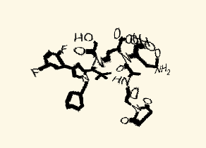 CC(NC(=O)CN1C(=O)C=CC1=O)C(=O)N(C(CCN(C(=O)CO)C(c1cc(-c2cc(F)ccc2F)cn1Cc1ccccc1)C(C)(C)C)C(=O)O)C(CC(N)=O)C(=O)O